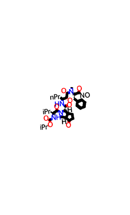 CCCC(NC(=O)[C@@H]1[C@H]2CCC(=O)[C@H]2CN1C(=O)[C@@H](NC(=O)OC(C)C)C(C)C)C(=O)C(=O)N(C)[C@@H](Cc1ccccc1)C(=O)N=O